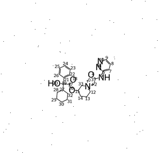 C[N@@+]1(CC(=O)Nc2cccnn2)CCCC(OC(=O)C(O)(c2ccccc2)C2CCCCC2)C1